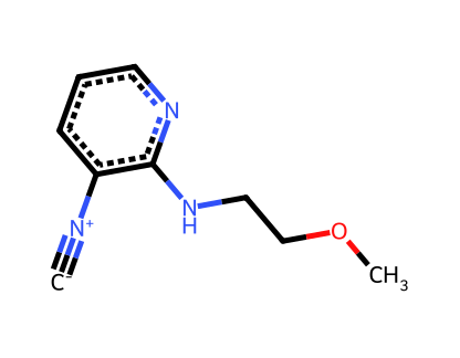 [C-]#[N+]c1cccnc1NCCOC